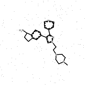 CN1CCN(CCn2cc(-c3ccc4c(c3)CCC4N)c(-c3ccncc3)n2)CC1